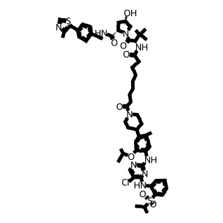 Cc1cc(Nc2ncc(Cl)c(Nc3ccccc3S(=O)(=O)C(C)C)n2)c(OC(C)C)cc1C1CCN(C(=O)CCCCCCCC(=O)N[C@H](C(=O)N2C[C@H](O)C[C@H]2C(=O)NCc2ccc(-c3scnc3C)cc2)C(C)(C)C)CC1